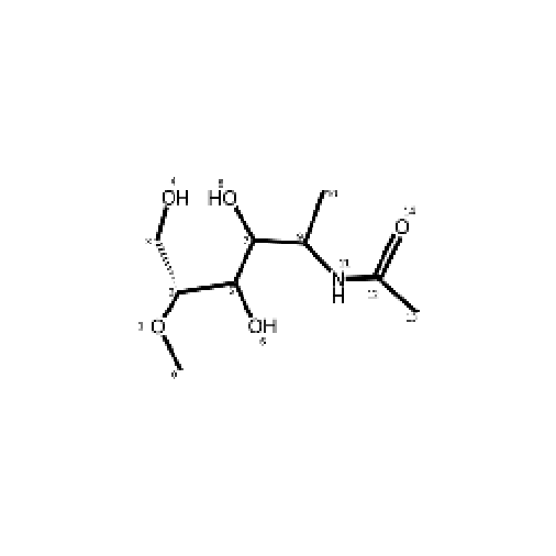 CO[C@H](CO)C(O)C(O)C(C)NC(C)=O